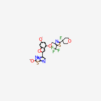 COc1cc(OCc2nc(C3(F)CCOCC3)sc2C(F)(F)F)c2cc(-c3cnc4sc(OC)nn34)oc2c1